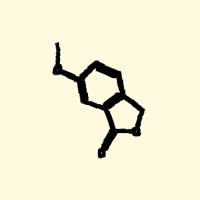 COc1ccc2c(c1)C(=O)OC2